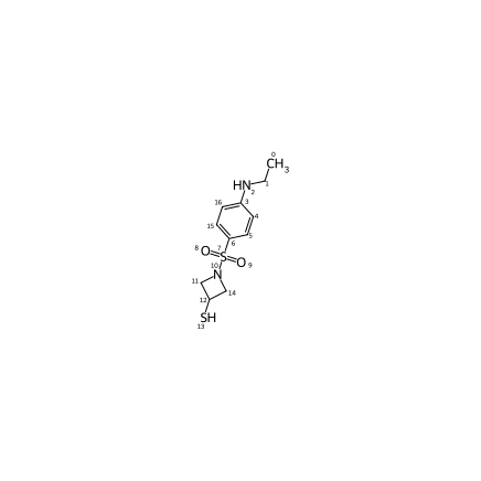 CCNc1ccc(S(=O)(=O)N2CC(S)C2)cc1